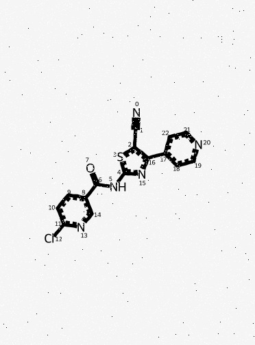 N#Cc1sc(NC(=O)c2ccc(Cl)nc2)nc1-c1ccncc1